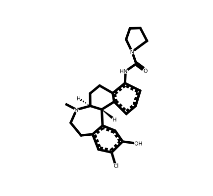 CN1CCc2cc(Cl)c(O)cc2[C@H]2c3cccc(NC(=O)N4CCCC4)c3CC[C@@H]21